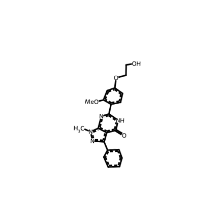 COc1cc(OCCO)ccc1-c1nc2c(c(-c3ccccc3)nn2C)c(=O)[nH]1